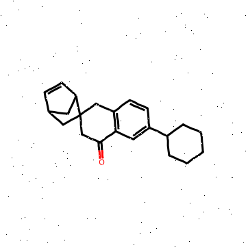 O=C1CC2(Cc3ccc(C4CCCCC4)cc31)CC1C=CC2C1